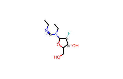 CC/N=C\N(CC)C1OC(CO)[C@@H](O)[C@H]1F